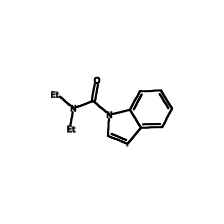 CCN(CC)C(=O)n1c[c]c2ccccc21